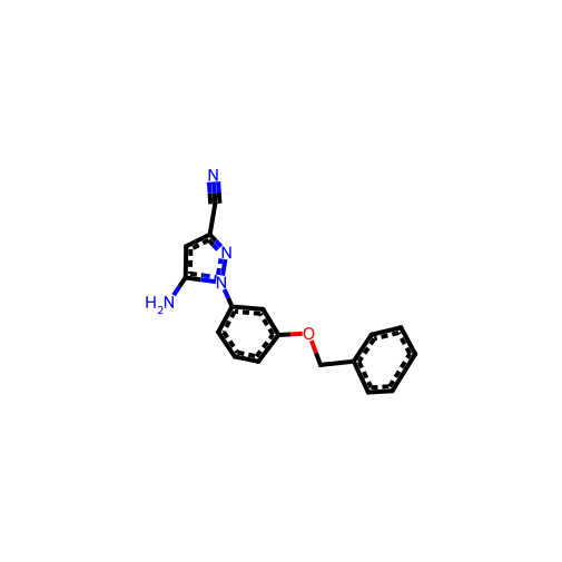 N#Cc1cc(N)n(-c2cccc(OCc3ccccc3)c2)n1